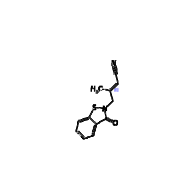 C/C(=C\C#N)Cn1sc2ccccc2c1=O